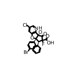 O=C(O)C1(F)C(=O)[C@@]2(O)c3ncc(Cl)cc3O[C@@]2(c2ccc(Br)cc2)[C@@H]1c1ccccc1